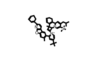 Cc1cc2oc3nc(C4=CC=CCC4)ccc3c2cc1-c1cc(C(C)(C)C)cc[n+]1C1=CC2(C)C3=C(CCC=C3)C3C=C(CC(C)C)C([Si](C)(C)C)=CN3C12